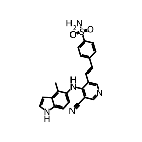 Cc1c(Nc2c(C#N)cncc2C=Cc2ccc(S(N)(=O)=O)cc2)ccc2[nH]ccc12